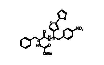 COC(=O)N[C@@H](Cc1ccccc1)C(=O)N[C@H](Cc1ccc([N+](=O)[O-])cc1)c1csc(-c2cccs2)n1